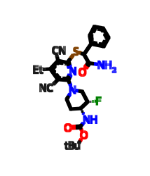 CCc1c(C#N)c(SC(C(N)=O)c2ccccc2)nc(N2CC[C@@H](NC(=O)OC(C)(C)C)[C@@H](F)C2)c1C#N